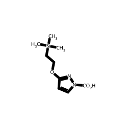 C[Si](C)(C)CCOc1ccn(C(=O)O)n1